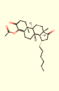 CCCCCC[C@H]1CC(=O)[C@@]2(C)CC[C@H]3[C@@H](CCC4=C(OC(C)=O)C(=O)CC[C@@]43C)[C@H]12